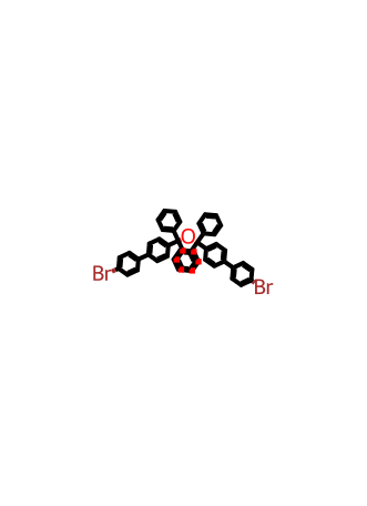 Brc1ccc(-c2ccc(C(OC(c3ccccc3)(c3ccccc3)c3ccc(-c4ccc(Br)cc4)cc3)(c3ccccc3)c3ccccc3)cc2)cc1